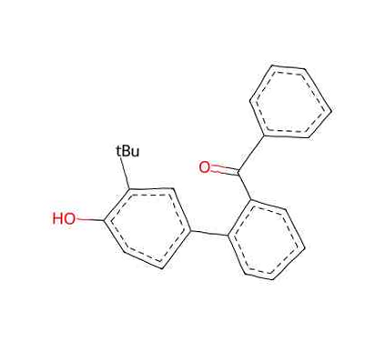 CC(C)(C)c1cc(-c2ccccc2C(=O)c2ccccc2)ccc1O